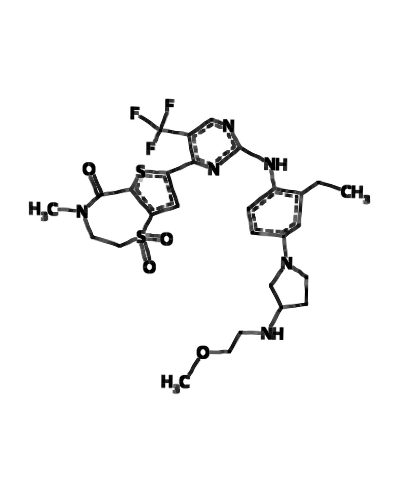 CCc1cc(N2CCC(NCCOC)C2)ccc1Nc1ncc(C(F)(F)F)c(-c2cc3c(s2)C(=O)N(C)CCS3(=O)=O)n1